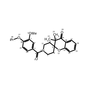 COc1cc(C(=O)N2CCC3(CC2)Oc2ccccc2C(=O)C3(C)C)ccc1OC(C)C